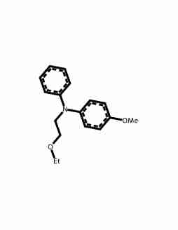 CCOCCN(c1ccccc1)c1ccc(OC)cc1